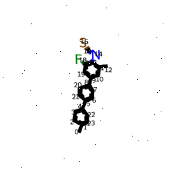 Cc1ccc(-c2ccc(-c3cc(C)c(N=C=S)c(F)c3)cc2)cc1